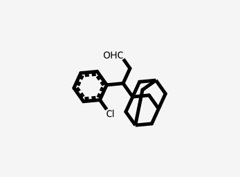 O=CCC(c1ccccc1Cl)C12CC3CC(CC(C3)C1)C2